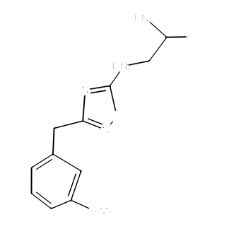 CCC(N)CNc1nc(Cc2cccc(OC)c2)ns1